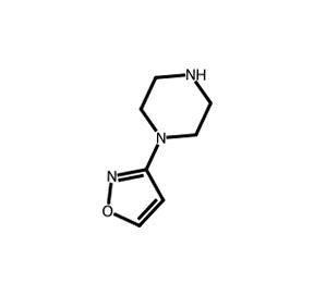 c1cc(N2CCNCC2)no1